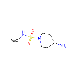 CONS(=O)(=O)N1CCC(N)CC1